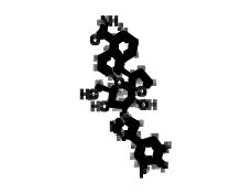 NC(=O)c1cccc2c([C@H]3CCO[C@]34O[C@H](CO)[C@H](O)[C@H](n3cc(-c5cc(F)c(F)c(F)c5)nn3)[C@H]4O)nccc12